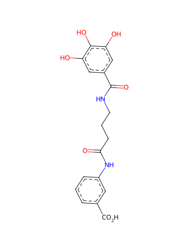 O=C(CCCNC(=O)c1cc(O)c(O)c(O)c1)Nc1cccc(C(=O)O)c1